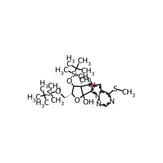 CSc1ncnn2c(C3(O)O[C@H](CO[Si](C)(C)C(C)(C)C)[C@@H](O[Si](C)(C)C(C)(C)C)[C@@]3(C)C#N)ccc12